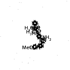 COC1CCN(c2ccnc(-c3cnc(N)c(-c4ccc(NC(=O)c5c(C)n(C)n(-c6ccccc6)c5=O)cc4)n3)c2)CC1